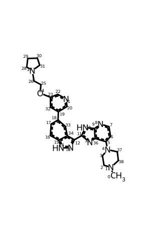 CN1CCN(c2ccnc3[nH]c(-c4n[nH]c5ccc(-c6cncc(OCCN7CCCC7)c6)cc45)nc23)CC1